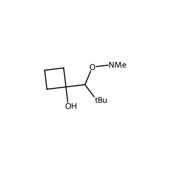 CNOC(C(C)(C)C)C1(O)CCC1